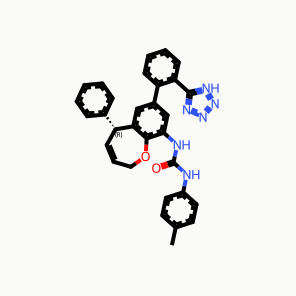 Cc1ccc(NC(=O)Nc2cc(-c3ccccc3-c3nnn[nH]3)cc3c2OCC=C[C@@H]3c2ccccc2)cc1